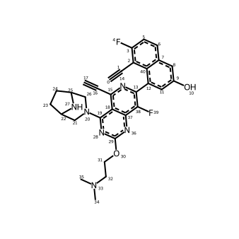 C#Cc1c(F)ccc2cc(O)cc(-c3nc(C#C)c4c(N5CC6CCC(C5)N6)nc(OCCN(C)C)nc4c3F)c12